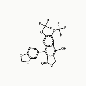 O=C1OCc2c1c(-c1ccc3c(c1)OCO3)c1cc(OC(F)(F)F)c(OC(F)(F)F)cc1c2O